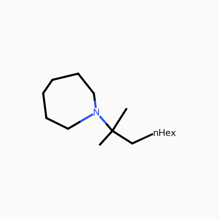 CCCCCCCC(C)(C)N1CCCCCC1